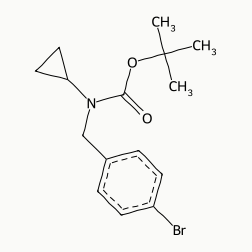 CC(C)(C)OC(=O)N(Cc1ccc(Br)cc1)C1CC1